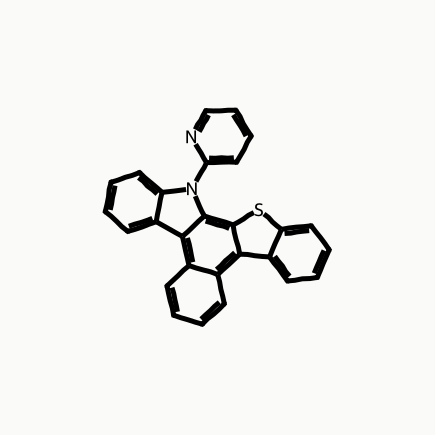 c1ccc(-n2c3ccccc3c3c4ccccc4c4c5ccccc5sc4c32)nc1